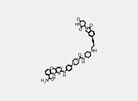 NC(=O)c1ccccc1Nc1nc(Nc2ccc(N3CCN(C(=O)N[C@H]4CC[C@@H](NCCC#Cc5ccc6c(c5)CN(C5CCC(=O)NC5=O)C6=O)CC4)CC3)cc2)ncc1Cl